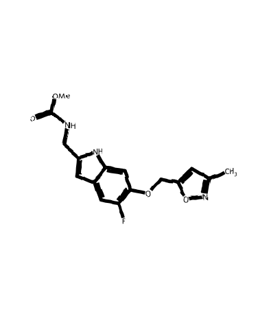 COC(=O)NCc1cc2cc(F)c(OCc3cc(C)no3)cc2[nH]1